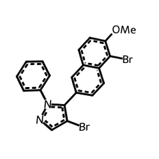 COc1ccc2cc(-c3c(Br)cnn3-c3ccccc3)ccc2c1Br